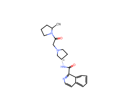 N#CC1CCCN1C(=O)CN1CC[C@H](NC(=O)c2nccc3ccccc23)C1